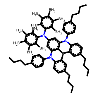 Bc1c(B)c(B)c(N(c2cc3c4c(c2)N(c2ccc(CCCC)cc2)c2ccc(CCCC)cc2B4c2cc(CCCC)ccc2N3c2ccc(CCCC)cc2)c2c(B)c(B)c(B)c(B)c2B)c(B)c1B